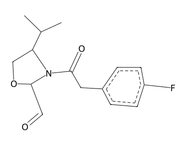 CC(C)C1COC(C=O)N1C(=O)Cc1ccc(F)cc1